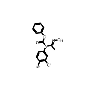 CC(=NO)N(C(=O)Oc1ccccc1)c1ccc(Br)c(Cl)c1